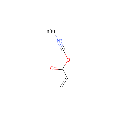 C=CC(=O)OC#[N+]CCCC